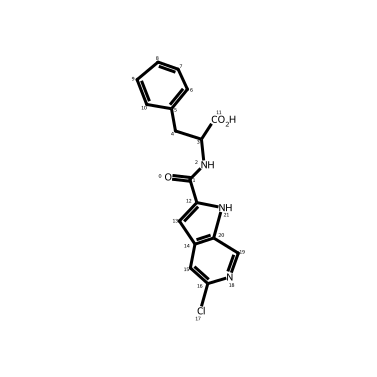 O=C(NC(Cc1ccccc1)C(=O)O)c1cc2cc(Cl)ncc2[nH]1